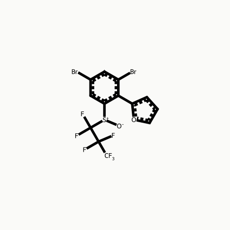 [O-][S+](c1cc(Br)[c]c(Br)c1-c1ccco1)C(F)(F)C(F)(F)C(F)(F)F